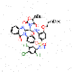 CCCCCCCCCCCCOc1ccc(S(=O)(=O)Nc2cc(Cl)c(Cl)cc2Cl)cc1NC(=O)C(c1nc2ccccc2c(=O)n1-c1ccccc1)N1C(=O)OC(CCCC)C1=O